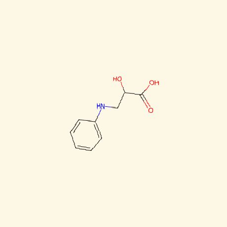 O=C(O)C(O)CNc1ccccc1